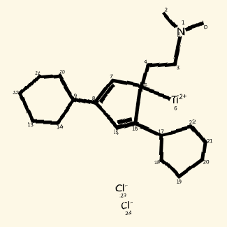 CN(C)CC[C]1([Ti+2])C=C(C2CCCCC2)C=C1C1CCCCC1.[Cl-].[Cl-]